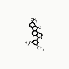 Cc1cc(C)cc(-c2nccc3c4c(ccc23)-c2ccc(C)cc2C4=O)c1